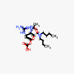 CCCCN(CCCC)C(=O)[C@@H]1OC(OC(=O)O)=C[C@H](NC(=N)N)[C@H]1NC(C)=O